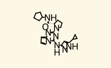 O=C(NC1CCCC1)[C@@H]1CCCN1c1nc(Nc2cc(C3CC3)[nH]n2)n2cccc2n1